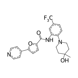 CC1(O)CCN(c2ccc(C(F)(F)F)cc2NC(=O)c2ccc(-c3ccncc3)o2)CC1